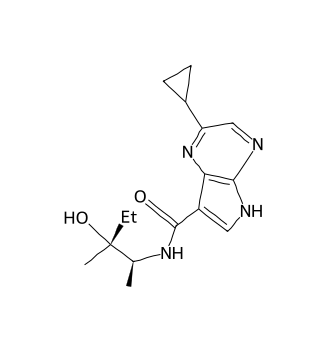 CC[C@@](C)(O)[C@H](C)NC(=O)c1c[nH]c2ncc(C3CC3)nc12